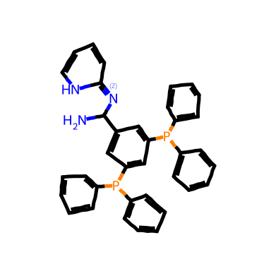 NC(/N=c1/cccc[nH]1)c1cc(P(c2ccccc2)c2ccccc2)cc(P(c2ccccc2)c2ccccc2)c1